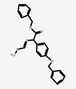 CS/C=N/C(C(=O)OCc1ccccc1)c1ccc(OCc2ccccc2)cc1